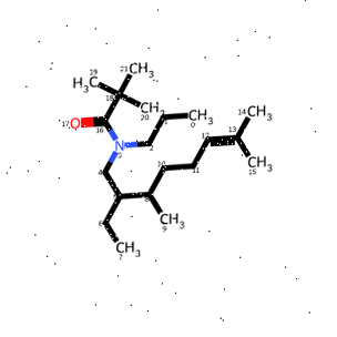 CCCN(CC(CC)C(C)CCC=C(C)C)C(=O)C(C)(C)C